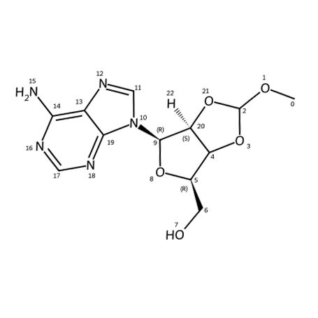 COC1OC2[C@@H](CO)O[C@@H](n3cnc4c(N)ncnc43)[C@H]2O1